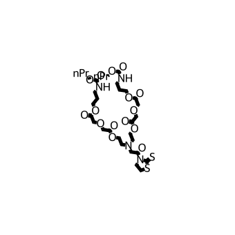 CCCOC(=O)NCCCOC(=O)COCC(=O)OCCN(CCOC(=O)COCC(=O)OCCCNC(=O)OCCC)CC(=O)N1CCSC1=S